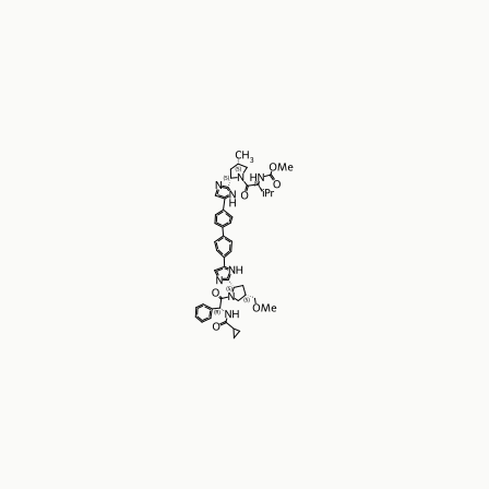 COC[C@H]1C[C@@H](c2ncc(-c3ccc(-c4ccc(-c5cnc([C@@H]6C[C@H](C)CN6C(=O)[C@@H](NC(=O)OC)C(C)C)[nH]5)cc4)cc3)[nH]2)N(C(=O)[C@H](NC(=O)C2CC2)c2ccccc2)C1